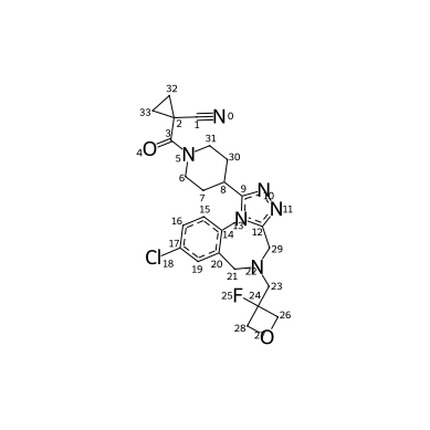 N#CC1(C(=O)N2CCC(c3nnc4n3-c3ccc(Cl)cc3CN(CC3(F)COC3)C4)CC2)CC1